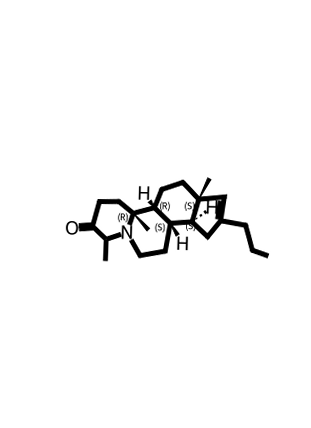 CCCC1=C[C@@]2(C)CC[C@@H]3[C@@H](CCN4C(C)C(=O)CC[C@]34C)[C@@H]2C1